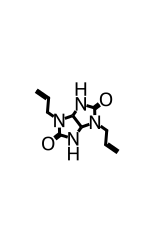 C=CCN1C(=O)NC2C1NC(=O)N2CC=C